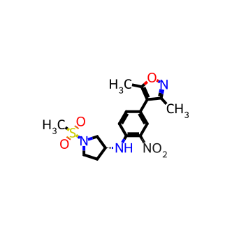 Cc1noc(C)c1-c1ccc(N[C@@H]2CCN(S(C)(=O)=O)C2)c([N+](=O)[O-])c1